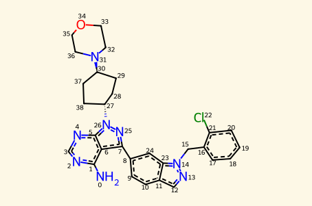 Nc1ncnc2c1c(-c1ccc3cnn(Cc4ccccc4Cl)c3c1)nn2[C@H]1CC[C@H](N2CCOCC2)CC1